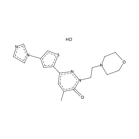 Cc1cc(-c2cc(-n3ccnc3)cs2)nn(CCN2CCOCC2)c1=O.Cl